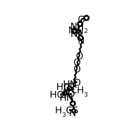 Cc1ncsc1-c1ccc(CNC(=O)[C@@H]2C[C@@H](O)CN2C(=O)CC(C)(C)CNC(=O)CCCCCOCCOCCOCCCCCCN2CCC(n3nc(-c4ccc(Oc5ccccc5)cc4)c4c(N)ncnc43)CC2)cc1